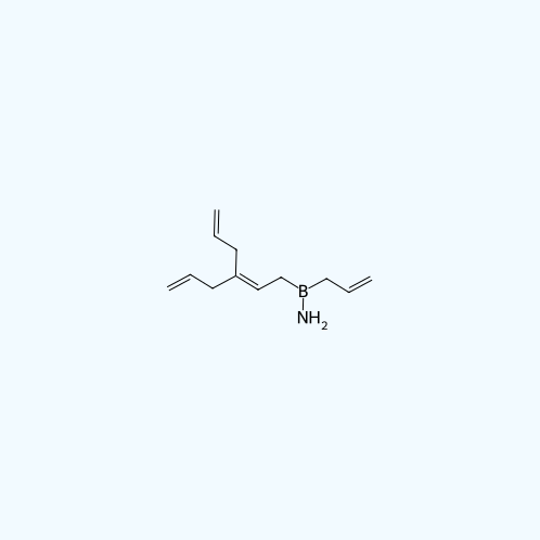 C=CCB(N)CC=C(CC=C)CC=C